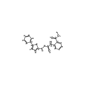 COC(=O)c1ccccc1NC(=O)CSC1=NN=C(c2ccccc2)C1